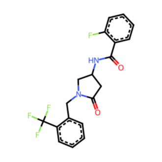 O=C(NC1CC(=O)N(Cc2ccccc2C(F)(F)F)C1)c1ccccc1F